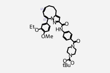 CCOc1cc(/C2=C/C=C\CCCc3cc(C(=O)Nc4ccc(C(=O)N5CCN(C(=O)OC(C)(C)C)CC5)cc4)nn32)ccc1OC